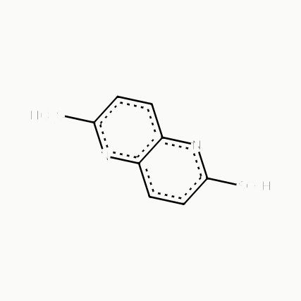 O=S(=O)(O)c1ccc2nc(S(=O)(=O)O)ccc2n1